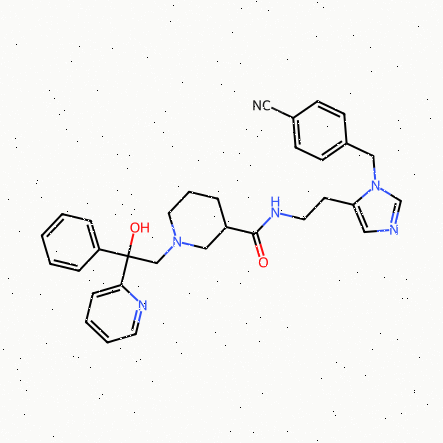 N#Cc1ccc(Cn2cncc2CCNC(=O)C2CCCN(CC(O)(c3ccccc3)c3ccccn3)C2)cc1